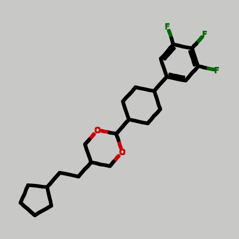 Fc1cc(C2CCC(C3OCC(CCC4CCCC4)CO3)CC2)cc(F)c1F